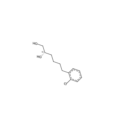 OC[C@@H](O)CCCCc1ccccc1Cl